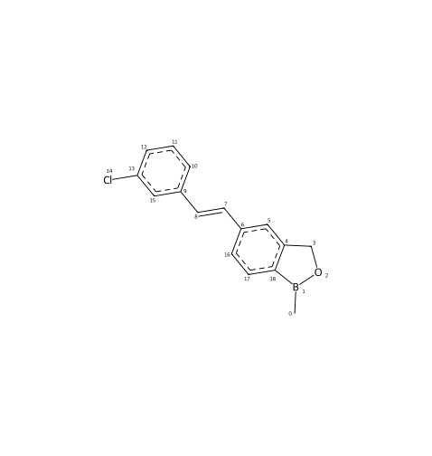 CB1OCc2cc(/C=C/c3cccc(Cl)c3)ccc21